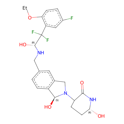 CCOc1ccc(F)cc1C(F)(F)[C@@H](O)NCc1ccc2c(c1)CN(C1CC[C@@H](O)NC1=O)[C@H]2O